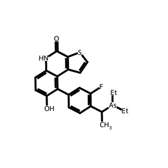 CC[As](CC)C(C)c1ccc(-c2c(O)ccc3[nH]c(=O)c4sccc4c23)cc1F